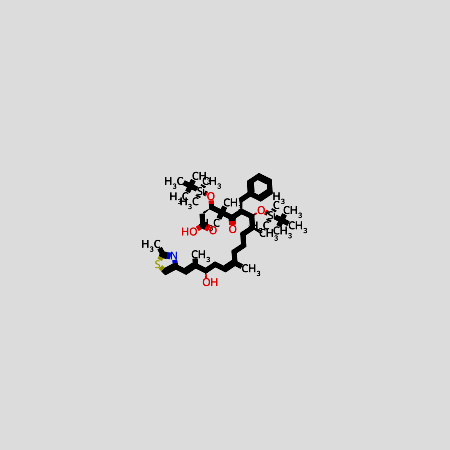 C/C(=C/C[C@H](O)/C(C)=C/c1csc(C)n1)CCC[C@H](C)[C@@H](O[Si](C)(C)C(C)(C)C)[C@H](Cc1ccccc1)C(=O)C(C)(C)[C@H](CC(=O)O)O[Si](C)(C)C(C)(C)C